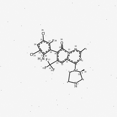 Cc1nc(N2CCNC[C@@H]2C)c2cc(C(F)(F)F)c(-c3c(N)c(Cl)cc(Cl)c3F)c(=O)n2n1